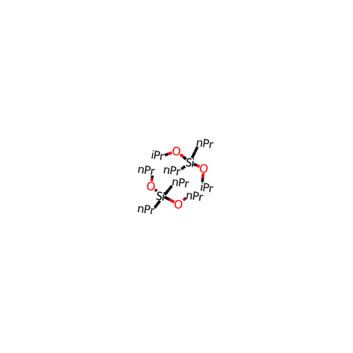 CCCO[Si](CCC)(CCC)OCCC.CCC[Si](CCC)(OC(C)C)OC(C)C